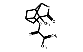 C=C(C)C(=O)OC1C2CC3C1OC(=O)C3(C)C2